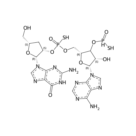 Nc1nc2c(ncn2[C@@H]2O[C@H](CO)C[C@@H]2OP(=O)(S)OC[C@H]2O[C@@H](n3cnc4c(N)ncnc43)[C@@H](O)C2O[PH](=O)S)c(=O)[nH]1